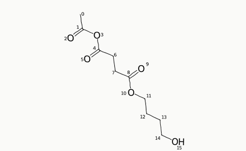 CC(=O)OC(=O)CCC(=O)OCCCCO